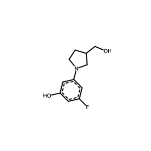 OCC1CCN(c2cc(O)cc(F)c2)C1